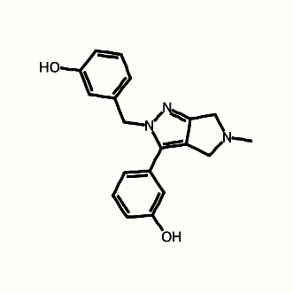 CN1Cc2nn(Cc3cccc(O)c3)c(-c3cccc(O)c3)c2C1